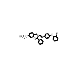 O=C(O)c1ccc(CN(C=Cc2ccc(Oc3ccccc3F)cc2)C(=O)c2ccccc2)cc1